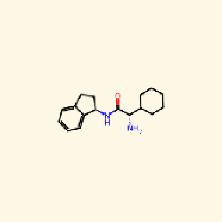 N[C@H](C(=O)N[C@@H]1CCc2ccccc21)C1CCCCC1